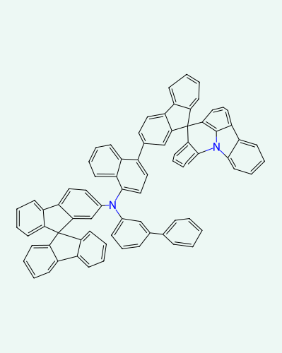 c1ccc(-c2cccc(N(c3ccc4c(c3)C3(c5ccccc5-c5ccccc53)c3ccccc3-4)c3ccc(-c4ccc5c(c4)C4(c6ccccc6-5)c5ccccc5-n5c6ccccc6c6cccc4c65)c4ccccc34)c2)cc1